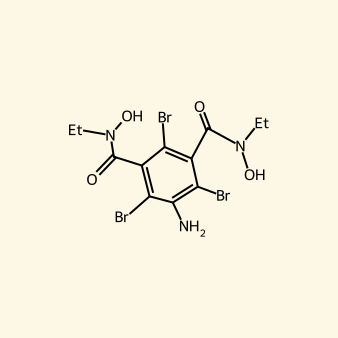 CCN(O)C(=O)c1c(Br)c(N)c(Br)c(C(=O)N(O)CC)c1Br